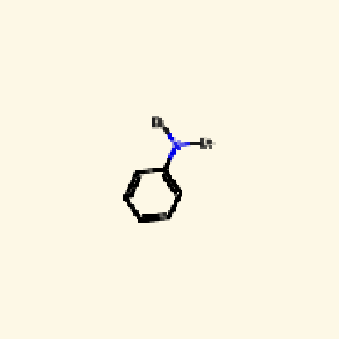 [CH2][CH]N(CC)c1ccccc1